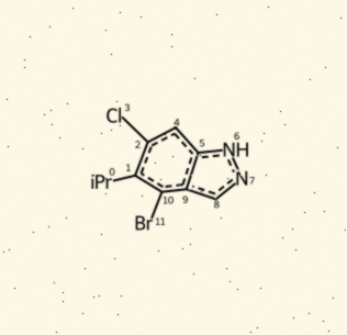 CC(C)c1c(Cl)cc2[nH]ncc2c1Br